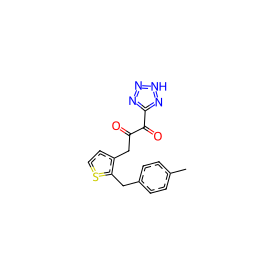 Cc1ccc(Cc2sccc2CC(=O)C(=O)c2nn[nH]n2)cc1